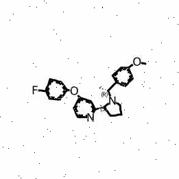 COc1ccc([C@@H](C)N2CCC[C@H]2c2cc(Oc3ccc(F)cc3)ccn2)cc1